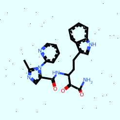 Cc1ncc(C(=O)NC(CCc2c[nH]c3ccccc23)C(=O)C(N)=O)n1-c1ccccn1